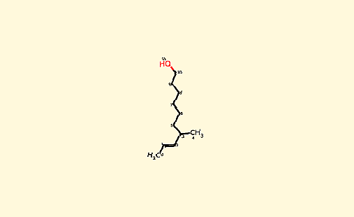 CC=CC(C)CCCCCCO